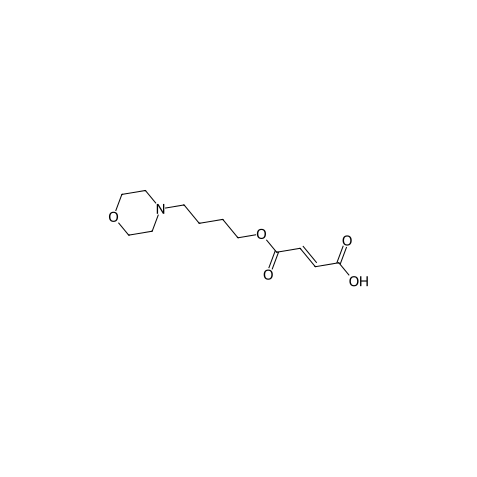 O=C(O)C=CC(=O)OCCCCN1CCOCC1